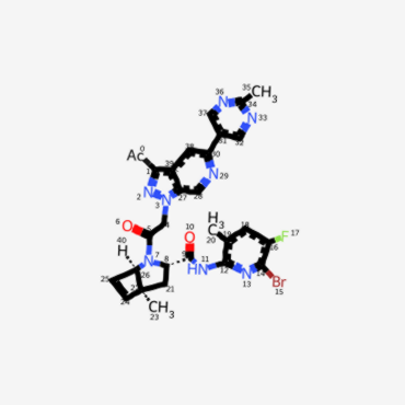 CC(=O)c1nn(CC(=O)N2[C@H](C(=O)Nc3nc(Br)c(F)cc3C)C[C@@]3(C)C=C[C@@H]23)c2cnc(-c3cnc(C)nc3)cc12